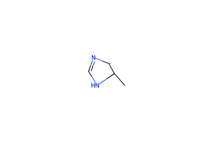 CC1[CH]N=CN1